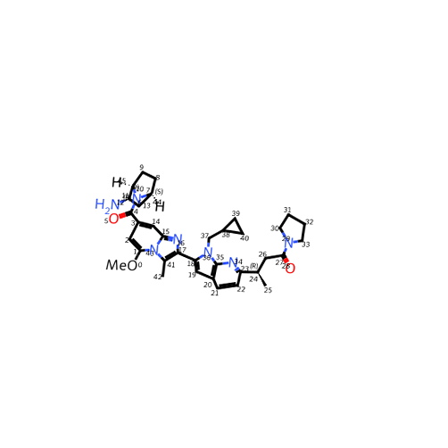 COc1cc(C(=O)N2[C@H]3CC[C@@H]2[C@H](N)C3)cc2nc(-c3cc4ccc([C@H](C)CC(=O)N5CCCC5)nc4n3CC3CC3)c(C)n12